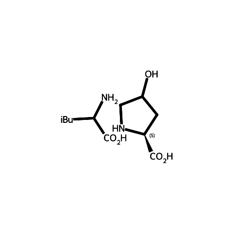 CCC(C)C(N)C(=O)O.O=C(O)[C@@H]1CC(O)CN1